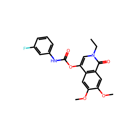 CCn1cc(OC(=O)Nc2cccc(F)c2)c2cc(OC)c(OC)cc2c1=O